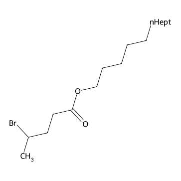 CCCCCCCCCCCCOC(=O)CCC(C)Br